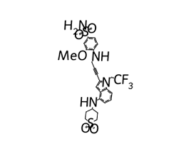 COc1cc(S(N)(=O)=O)ccc1NCC#Cc1cc2c(NC3CCS(=O)(=O)CC3)cccc2n1CC(F)(F)F